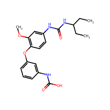 CCC(CC)NC(=O)Nc1ccc(Oc2cccc(NC(=O)O)c2)c(OC)c1